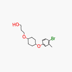 Cc1cc(OC2CCC(OCCCO)CC2)ccc1Br